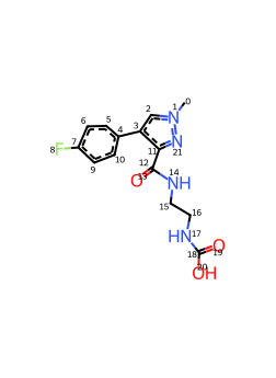 Cn1cc(-c2ccc(F)cc2)c(C(=O)NCCNC(=O)O)n1